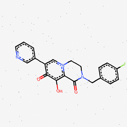 O=C1c2c(O)c(=O)c(-c3cccnc3)cn2CCN1Cc1ccc(F)cc1